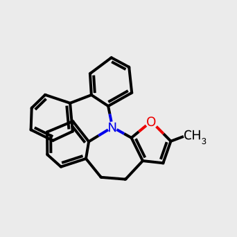 Cc1cc2c(o1)N(c1ccccc1-c1ccccc1)c1ccccc1CC2